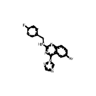 Fc1ccc(CNc2nc(-n3cncn3)c3cc(Br)ccc3n2)cc1